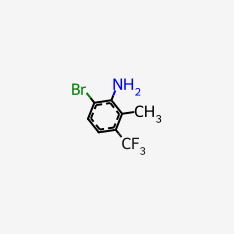 Cc1c(C(F)(F)F)ccc(Br)c1N